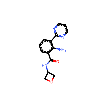 Nc1c(C(=O)NC2COC2)cccc1-c1ncccn1